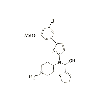 COc1cc(Cl)cc(-n2ccc(N(C3CCN(C)CC3)C(O)c3cccs3)n2)c1